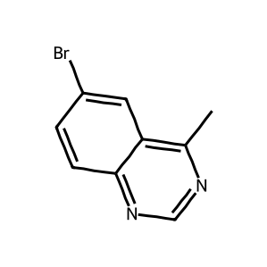 Cc1ncnc2ccc(Br)cc12